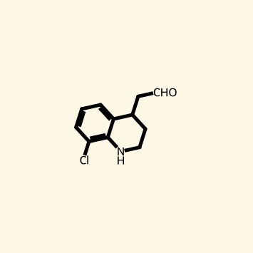 O=CCC1CCNc2c(Cl)cccc21